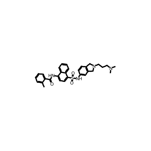 Cc1ccccc1C(=O)Nc1ccc(S(=O)(=O)Nc2ccc3c(c2)CN(CCCN(C)C)C3)c2ccccc12